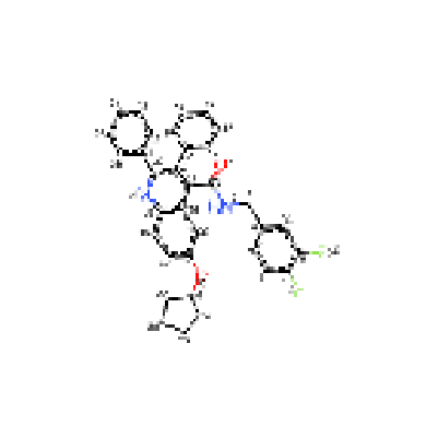 O=C(NCc1ccc(F)c(F)c1)c1c(-c2ccccc2)c(-c2ccccc2)nc2ccc(OC3CCCC3)cc12